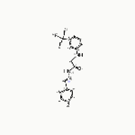 O=C(CNc1cccc(C(F)(F)F)c1)N/N=C/c1ccncc1